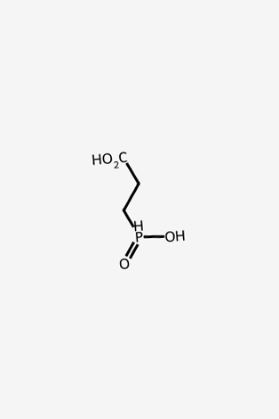 O=C(O)CC[PH](=O)O